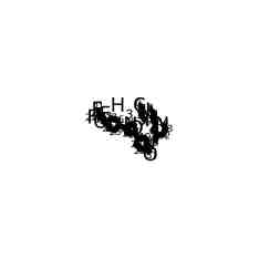 CN1CCN(c2cc(Cn3cc(-c4cc(-c5ccc(OC(F)(F)F)cc5)no4)ccc3=O)ccn2)CC1